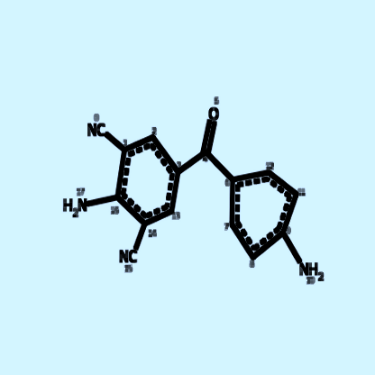 N#Cc1cc(C(=O)c2ccc(N)cc2)cc(C#N)c1N